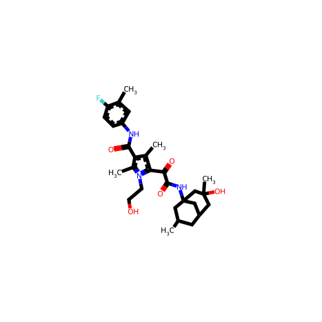 Cc1cc(NC(=O)c2c(C)c(C(=O)C(=O)NC34CC(C)CC(CC(C)(O)C3)C4)n(CCO)c2C)ccc1F